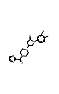 O=C(c1nccs1)N1CCN(C2CC(=O)N(c3ccc(F)c(Br)c3)C2)CC1